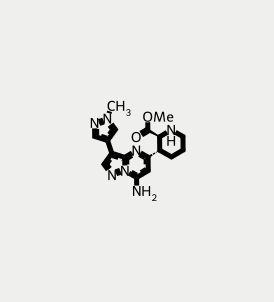 COC(=O)[C@H]1NCCC[C@@H]1c1cc(N)n2ncc(-c3cnn(C)c3)c2n1